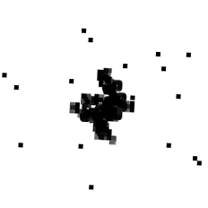 CC(=O)O/N=C(\C(=O)N[C@@H]1C(=O)N2C(C(=O)O)=C(C=C3CCN(CC(F)(F)F)C3=O)CC[C@H]12)c1csc(N)n1.[NaH]